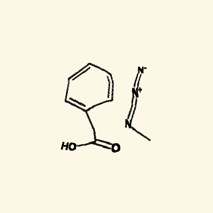 CN=[N+]=[N-].O=C(O)c1ccccc1